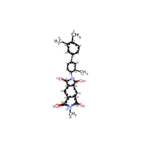 Cc1ccc(-c2ccc(-n3c(=O)c4cc5c(=O)n(C)c(=O)c5cc4c3=O)c(C)c2)cc1C